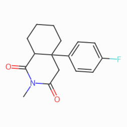 CN1C(=O)CC2(c3ccc(F)cc3)CCCCC2C1=O